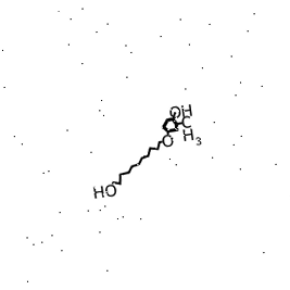 Cc1cc(OCCCCCCCCCCCO)ccc1O